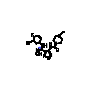 CCN1CCN(C(=O)Nc2nonc2/C(=N\O)Nc2ccc(F)c(Br)c2)CC1